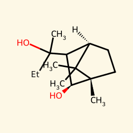 CCC(C)(O)C1[C@H]2CC[C@](C)([C@H]1O)C2(C)C